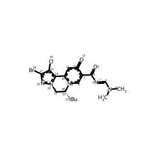 CN(C)/C=N/C(=O)c1cn2c(cc1=O)-c1c(Cl)c(Br)nn1C[C@H]2C(C)(C)C